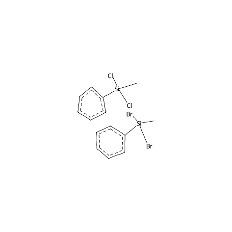 C[Si](Br)(Br)c1ccccc1.C[Si](Cl)(Cl)c1ccccc1